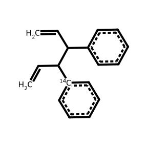 C=C[C](C(C=C)c1ccccc1)[14c]1ccccc1